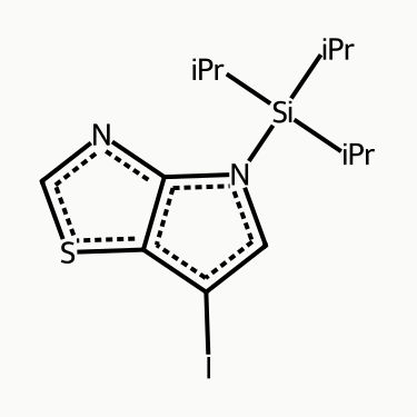 CC(C)[Si](C(C)C)(C(C)C)n1cc(I)c2scnc21